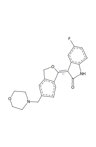 O=C1Nc2ccc(F)cc2/C1=C1\OCc2cc(CN3CCOCC3)ccc21